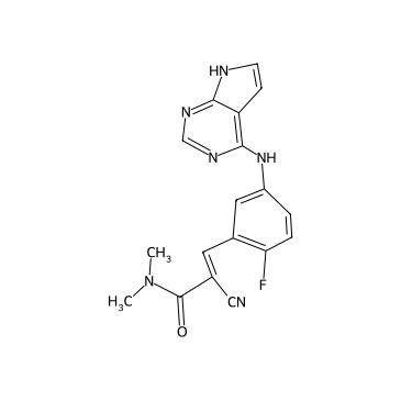 CN(C)C(=O)/C(C#N)=C/c1cc(Nc2ncnc3[nH]ccc23)ccc1F